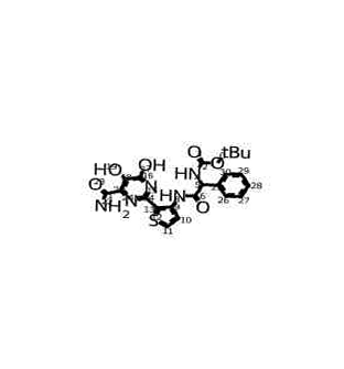 CC(C)(C)OC(=O)NC(C(=O)Nc1ccsc1-c1nc(O)c(O)c(C(N)=O)n1)c1ccccc1